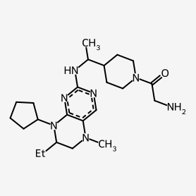 CCC1CN(C)c2cnc(NC(C)C3CCN(C(=O)CN)CC3)nc2N1C1CCCC1